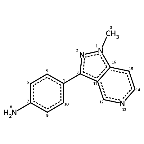 Cn1nc(-c2ccc(N)cc2)c2cnccc21